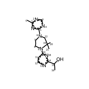 Cc1ncnc(N2CCN(c3ccnc(C(C)O)n3)C(C)(C)C2)n1